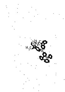 C=Cc1c(/C=C\C)oc2cc(N(c3ccc4c(c3)-c3ccccc3-c3ccccc3N4c3ccccc3)c3ccc4c(c3)C(C)(C)c3ccccc3-4)ccc12